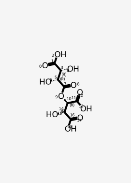 O=C(O)[C@H](O)[C@@H](O)C(=O)O[C@@H](C(=O)O)[C@@H](O)C(=O)O